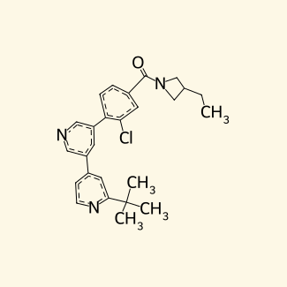 CCC1CN(C(=O)c2ccc(-c3cncc(-c4ccnc(C(C)(C)C)c4)c3)c(Cl)c2)C1